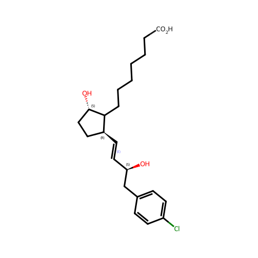 O=C(O)CCCCCCC1[C@@H](O)CC[C@@H]1/C=C/[C@@H](O)Cc1ccc(Cl)cc1